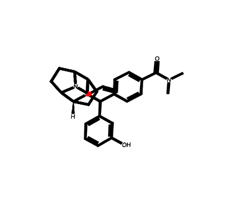 C=CCN1C2CCC1[C@H]1CCC2N1C(c1ccc(C(=O)N(C)C)cc1)c1cccc(O)c1